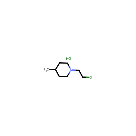 Cl.FC(F)(F)C1CCN(CCCl)CC1